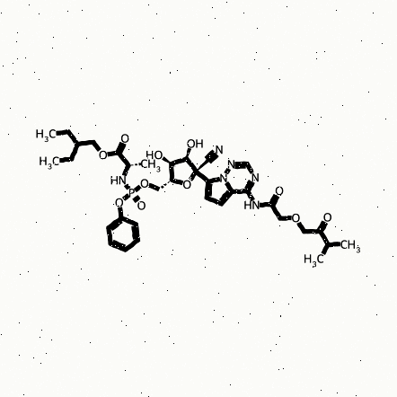 CCC(CC)COC(=O)[C@H](C)NP(=O)(OC[C@H]1O[C@@](C#N)(c2ccc3c(NC(=O)COCC(=O)C(C)C)ncnn23)[C@H](O)[C@@H]1O)Oc1ccccc1